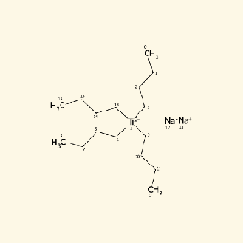 CCC[CH2][Ti-2]([CH2]CCC)([CH2]CCC)[CH2]CCC.[Na+].[Na+]